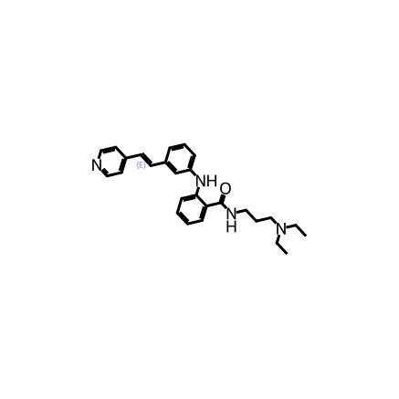 CCN(CC)CCCNC(=O)c1ccccc1Nc1cccc(/C=C/c2ccncc2)c1